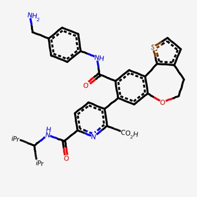 CC(C)C(NC(=O)c1ccc(-c2cc3c(cc2C(=O)Nc2ccc(CN)cc2)-c2sccc2CCO3)c(C(=O)O)n1)C(C)C